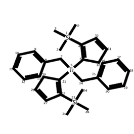 C[Si](C)(C)C1=[C]([Ti]([CH2]c2ccccc2)([CH2]c2ccccc2)[C]2=C([Si](C)(C)C)C=CC2)CC=C1